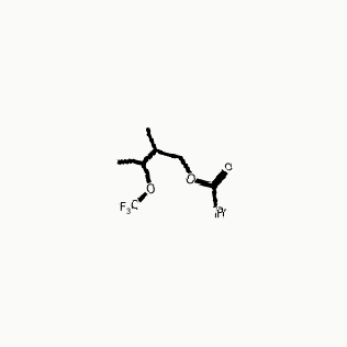 CC(C)C(=O)OCC(C)C(C)OC(F)(F)F